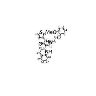 COc1ccccc1OCCNCC(C(=O)Cc1ccsc1)C1CCc2ccccc2N1